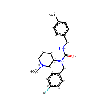 COc1ccc(CNC(=O)N(Cc2ccc(F)cc2)[C@@H]2CCCN(C(=O)O)C2)cc1